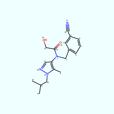 Cc1c(N(Cc2cccc(C#N)c2)C(=O)CO)cnn1CC(C)C